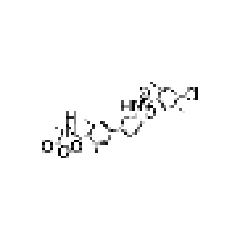 COC(=O)C(C)NC(=O)c1c(C)cc(-c2cccc(NS(=O)(=O)c3cc(C)c(Cl)cc3C)c2)cc1C